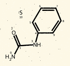 NC(=O)Nc1ccccc1.[S]